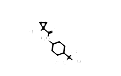 CC1(C(=O)NC2CCC(C(C)(C)C)CC2)CC1